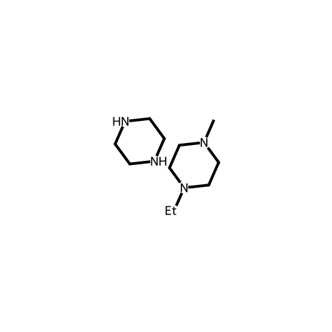 C1CNCCN1.CCN1CCN(C)CC1